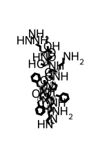 N=C(N)NCCC[C@H](NC(=O)[C@H](CO)NC(=O)[C@H](CCCCN)NC(=O)[C@@H]1CCCN1C(=O)[C@H](Cc1ccccc1)NC(=O)[C@H](Cc1ccccc1)NC(=O)[C@H](Cc1ccccc1)NC(=O)[C@@H](N)Cc1c[nH]cn1)C(=O)O